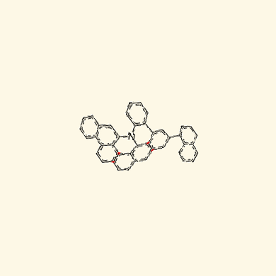 c1cc(-c2ccccc2N(c2cccc3ccccc23)c2cc3ccccc3c3ccccc23)cc(-c2cccc3ccccc23)c1